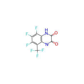 O=C1[N]c2c(c(F)c(F)c(F)c2C(F)(F)F)NC1=O